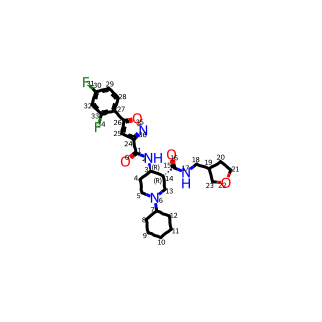 O=C(N[C@@H]1CCN(C2CCCCC2)C[C@H]1C(=O)NCC1CCOC1)c1cc(-c2ccc(F)cc2F)on1